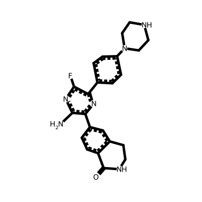 Nc1nc(F)c(-c2ccc(N3CCNCC3)cc2)nc1-c1ccc2c(c1)CCNC2=O